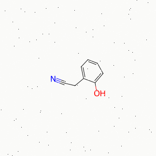 N#CCc1ccccc1O